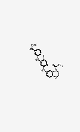 O=CNc1cccc(Nc2nc(Nc3ccc4c(c3)N(C(=O)C(F)(F)F)CCO4)ncc2F)c1